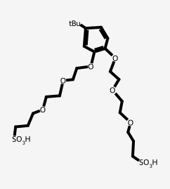 CC(C)(C)c1ccc(OCCOCCOCCCS(=O)(=O)O)c(OCCOCCOCCCS(=O)(=O)O)c1